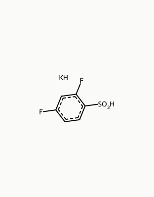 O=S(=O)(O)c1ccc(F)cc1F.[KH]